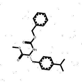 COC(=O)[C@@H](Cc1ccc(C(C)C)cc1)NC(=O)OCc1ccccc1